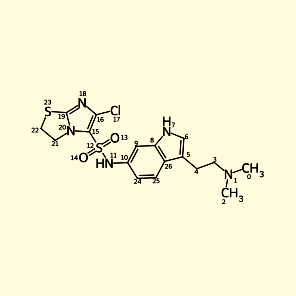 CN(C)CCc1c[nH]c2cc(NS(=O)(=O)c3c(Cl)nc4n3CCS4)ccc12